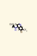 CCOC(=O)c1cnc2cc(C(F)(F)F)c(Br)cc2c1NC1CC1